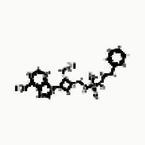 Nc1ncnc2c1ncn2[C@@H]1C[C@H](COP(=O)(O)OCCc2ccccc2)[C@H]1CO